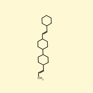 CC=CC1CCC(C2CCC(/C=C/C3CCCCC3)CC2)CC1